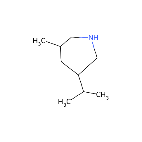 CC1CNCC(C(C)C)C1